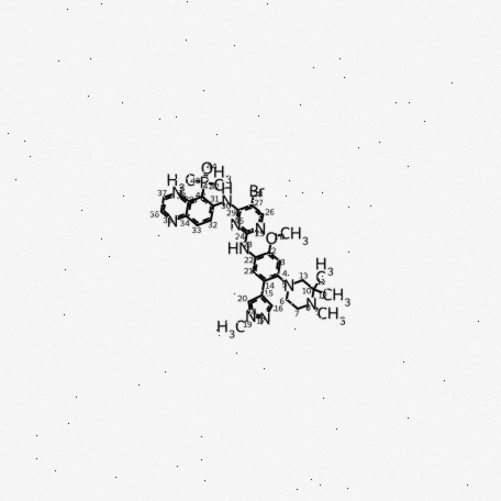 COc1cc(N2CCN(C)C(C)(C)C2)c(-c2cnn(C)c2)cc1Nc1ncc(Br)c(Nc2ccc3nccnc3c2P(C)(C)=O)n1